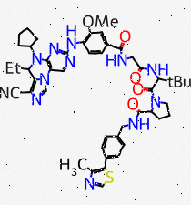 CCC1c2c(C#N)ncn2-c2cnc(Nc3ccc(C(=O)NCC(=O)NC(C(=O)N4CCCC4C(=O)NCc4ccc(-c5scnc5C)cc4)C(C)(C)C)cc3OC)nc2N1C1CCCC1